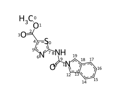 COC(=O)c1cnc(NC(=O)n2cc3ccccc3c2)s1